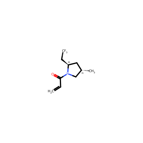 C=CC(=O)N1C[C@@H](C)C[C@@H]1CC(F)(F)F